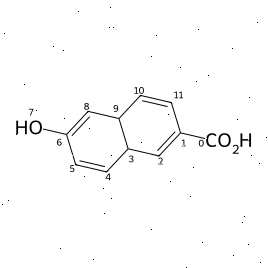 O=C(O)C1=CC2C=CC(O)=CC2C=C1